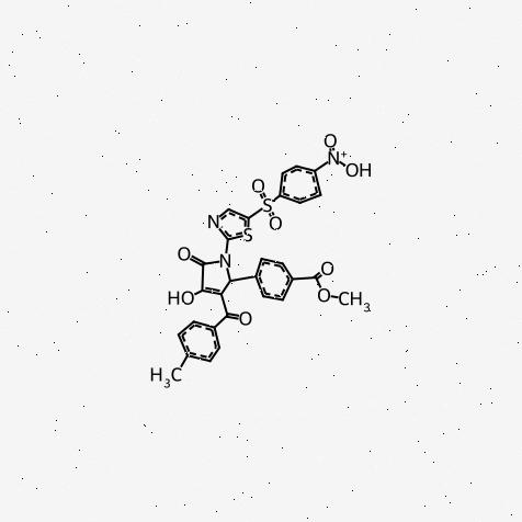 COC(=O)c1ccc(C2C(C(=O)c3ccc(C)cc3)=C(O)C(=O)N2c2ncc(S(=O)(=O)c3ccc([N+](=O)O)cc3)s2)cc1